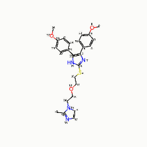 COc1ccc(-c2nc(SCCOCCn3ccnc3C)[nH]c2-c2ccc(OC)cc2)cc1